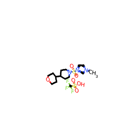 C[n+]1ccn(S(=O)(=O)N2CCC(C3CCOCC3)CC2)c1.O=S(=O)(O)C(F)(F)F